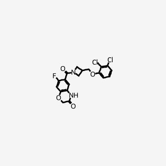 O=C1COc2cc(F)c(C(=O)N3CC(COc4cccc(Cl)c4Cl)C3)cc2N1